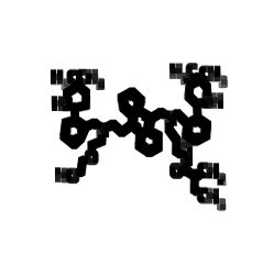 C=C(CC)C(=O)NCCCN(Cc1ccccc1C1BCC(C)(C)CC1)Cc1c2ccccc2c(CCN(CCOCCO)Cc2ccccc2C2BCC(C)(C)CC2)c2ccccc12